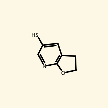 Sc1cnc2c(c1)CCO2